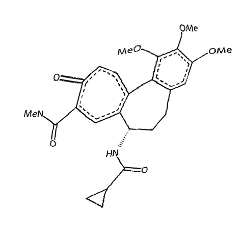 CNC(=O)c1cc2c(ccc1=O)-c1c(cc(OC)c(OC)c1OC)CC[C@@H]2NC(=O)C1CC1